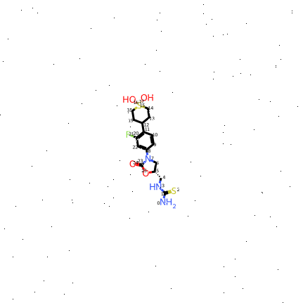 NC(=S)NC[C@H]1CN(c2ccc(C3CCS(O)(O)CC3)c(F)c2)C(=O)O1